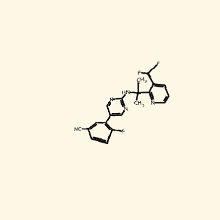 CC(C)(Nc1ncc(-c2cc(C#N)ccc2F)cn1)c1ncccc1C(F)F